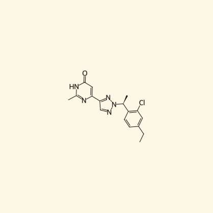 CCc1ccc([C@H](C)n2ncc(-c3cc(=O)[nH]c(C)n3)n2)c(Cl)c1